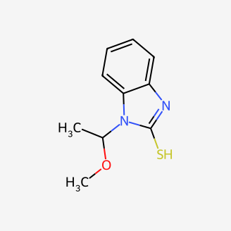 COC(C)n1c(S)nc2ccccc21